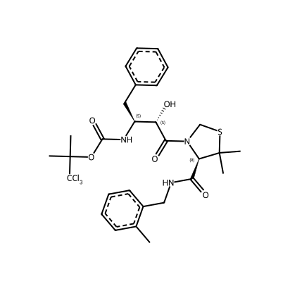 Cc1ccccc1CNC(=O)[C@H]1N(C(=O)[C@@H](O)[C@H](Cc2ccccc2)NC(=O)OC(C)(C)C(Cl)(Cl)Cl)CSC1(C)C